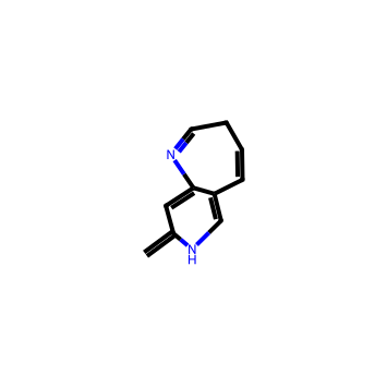 C=C1C=C2N=CCC=CC2=CN1